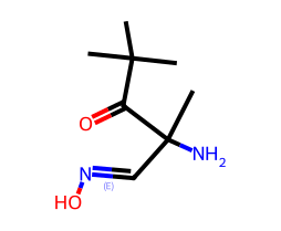 CC(C)(C)C(=O)C(C)(N)/C=N/O